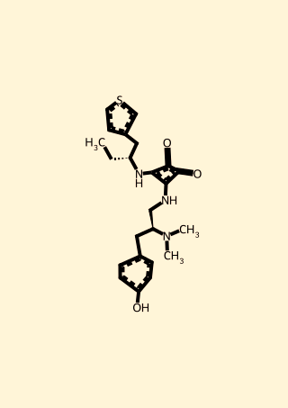 CC[C@H](Cc1ccsc1)Nc1c(NC[C@H](Cc2ccc(O)cc2)N(C)C)c(=O)c1=O